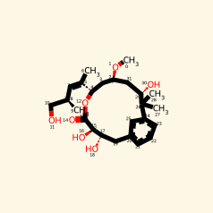 CO[C@@H]1C[C@@H](/C(C)=C\[C@@H](C)CO)OC(=O)[C@H](O)[C@@H](O)Cc2cccc(c2)C(C)(C)[C@@H](O)C1